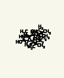 C[C@H](NC(=O)O)[C@H](O[Si](C)(C)C(C)(C)C)C(O)O[Si](C)(C)C(C)(C)C